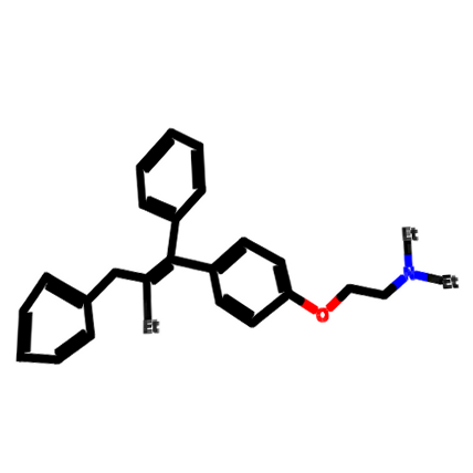 CCC(Cc1ccccc1)=C(c1ccccc1)c1ccc(OCCN(CC)CC)cc1